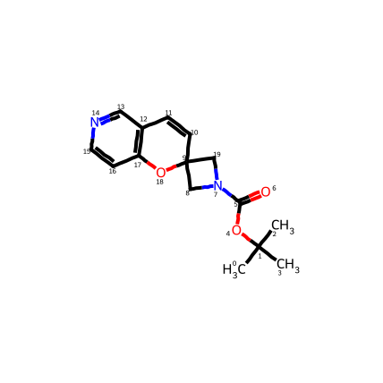 CC(C)(C)OC(=O)N1CC2(C=Cc3cnccc3O2)C1